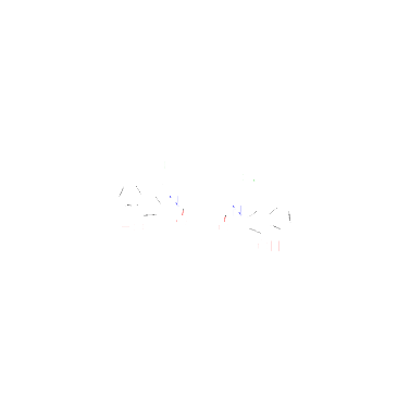 O=C(CCCC(=O)N1CC(CCl)c2c1cc(O)c1ccccc21)N1CC(CCl)c2c1cc(O)c1ccccc21